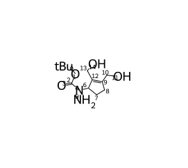 CC(C)(C)OC(=O)N(N)C1CCC(CO)=C1CO